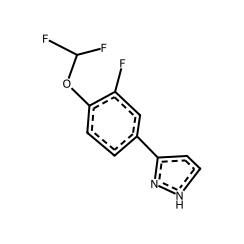 Fc1cc(-c2cc[nH]n2)ccc1OC(F)F